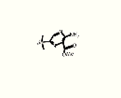 COC(=O)c1n[c]([Sn]([CH3])([CH3])[CH3])cnc1N